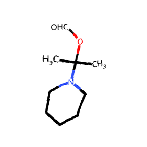 CC(C)(OC=O)N1CCCCC1